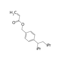 C=CC(=O)OCc1ccc(C(CC(C)C)C(C)C)cc1